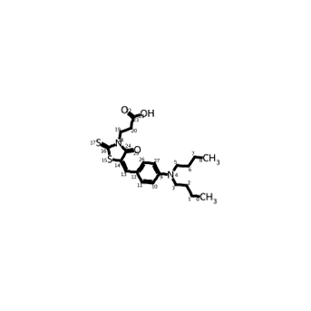 CCCCN(CCCC)c1ccc(C=C2SC(=S)N(CCC(=O)O)C2=O)cc1